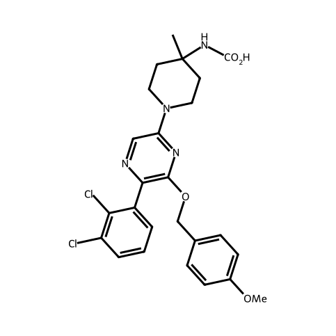 COc1ccc(COc2nc(N3CCC(C)(NC(=O)O)CC3)cnc2-c2cccc(Cl)c2Cl)cc1